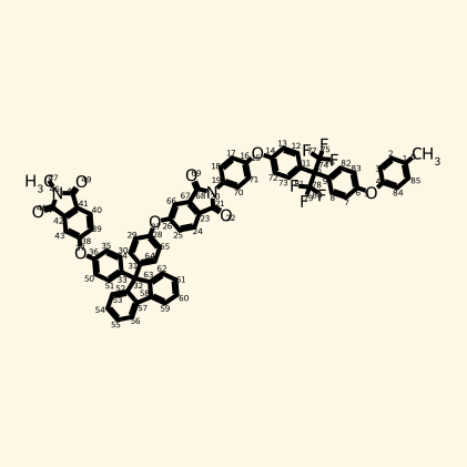 Cc1ccc(Oc2ccc(C(c3ccc(Oc4ccc(N5C(=O)c6ccc(Oc7ccc(C8(c9ccc(Oc%10ccc%11c(c%10)C(=O)N(C)C%11=O)cc9)c9ccccc9-c9ccccc98)cc7)cc6C5=O)cc4)cc3)(C(F)(F)F)C(F)(F)F)cc2)cc1